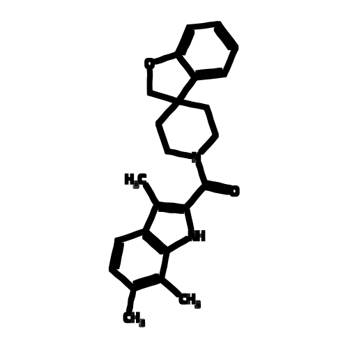 Cc1ccc2c(C)c(C(=O)N3CCC4(CC3)COc3ccccc34)[nH]c2c1C